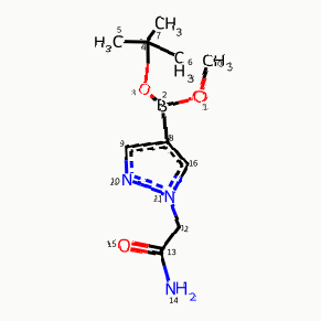 COB(OC(C)(C)C)c1cnn(CC(N)=O)c1